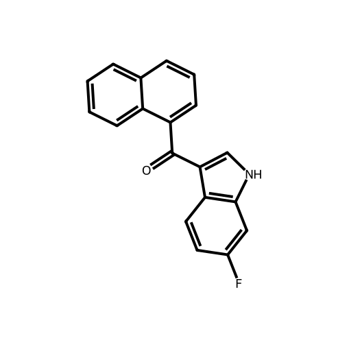 O=C(c1cccc2ccccc12)c1c[nH]c2cc(F)ccc12